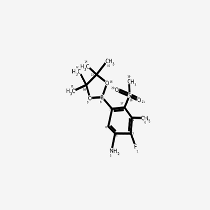 Cc1c(F)c(N)cc(B2OC(C)(C)C(C)(C)O2)c1S(C)(=O)=O